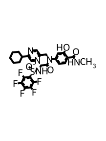 CNC(=O)c1ccc(N(Cc2cnc(C3CCCCC3)cn2)C(=O)CN[S+]([O-])c2c(F)c(F)c(F)c(F)c2F)cc1O